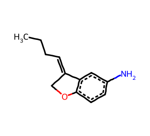 CCCC=C1COc2ccc(N)cc21